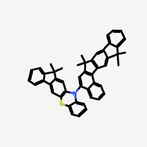 CC1(C)c2ccccc2-c2cc3c(cc21)-c1c(cc(N2c4ccccc4Sc4cc5c(cc42)C(C)(C)c2ccccc2-5)c2ccccc12)C3(C)C